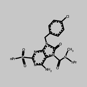 CCCN(C)C(=O)n1c(=O)n(Cc2ccc(Cl)cc2)c2nc(S(=O)(=O)CCC)nc(N)c21